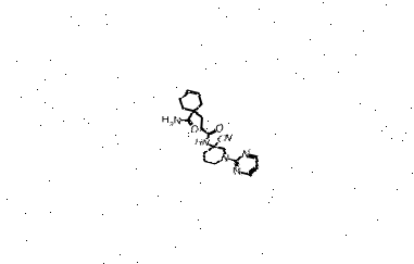 N#CC1(NC(=O)[CH]CC2(C(N)=O)CCCCC2)CCCN(c2ncccn2)C1